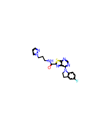 O=C(NCCCn1cccn1)c1nc2c(N3CCc4cc(F)ccc43)ncnc2s1